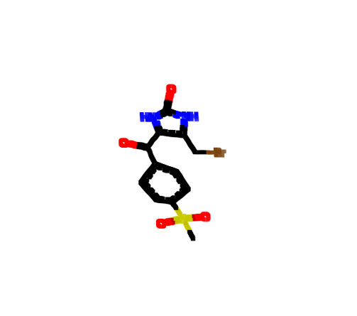 CS(=O)(=O)c1ccc(C(=O)c2[nH]c(=O)[nH]c2CBr)cc1